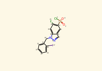 O=S(=O)(Cl)c1cc2cnn(Cc3ccccc3I)c2cc1F